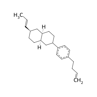 C=CCCc1ccc(C2CC[C@@H]3C[C@H](C=CC)CC[C@@H]3C2)cc1